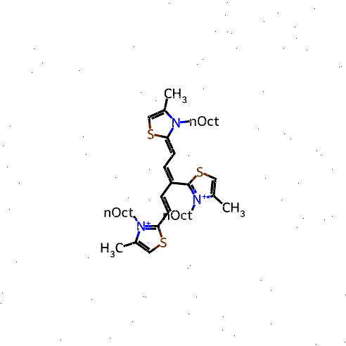 CCCCCCCCN1C(C)=CS\C1=C/C=C(/C=C/c1scc(C)[n+]1CCCCCCCC)c1scc(C)[n+]1CCCCCCCC